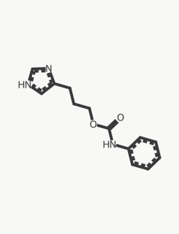 O=C(Nc1ccccc1)OCCCc1c[nH]cn1